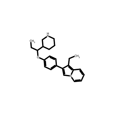 CCc1c(-c2ccc(OC(CC)C3CCCNC3)cc2)cn2ccccc12